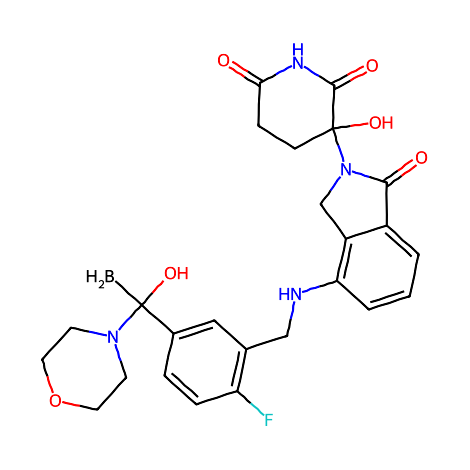 BC(O)(c1ccc(F)c(CNc2cccc3c2CN(C2(O)CCC(=O)NC2=O)C3=O)c1)N1CCOCC1